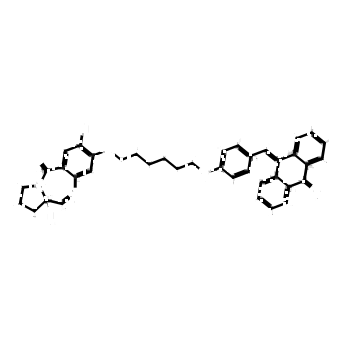 Cc1cc2c(cc1OCCCCCCOc1ccc(C=C3c4ccccc4C(=O)c4ccccc43)cc1)N=C[C@@H]1CCCN1C2=O